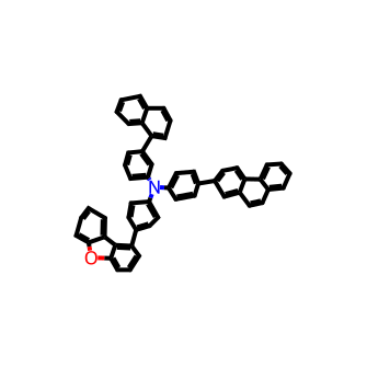 c1cc(-c2cccc3ccccc23)cc(N(c2ccc(-c3ccc4c(ccc5ccccc54)c3)cc2)c2ccc(-c3cccc4oc5ccccc5c34)cc2)c1